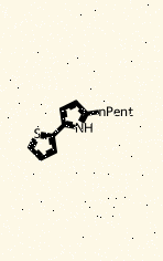 CCCCCc1ccc(-c2cccs2)[nH]1